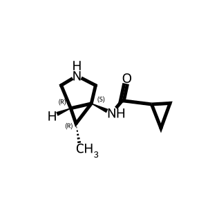 C[C@@H]1[C@@H]2CNC[C@]12NC(=O)C1CC1